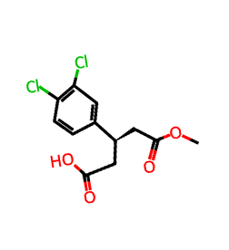 COC(=O)C[C@@H](CC(=O)O)c1ccc(Cl)c(Cl)c1